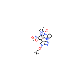 Cc1ccn2nc([C@H](C)Nc3ncnc4c3c(-c3cccc(N(C)S(C)(=O)=O)c3)cn4COCC[Si](C)(C)C)n(-c3ccccc3)c(=O)c12